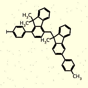 Cc1ccc(-c2ccc3c(c2)-c2ccccc2C3(C)Cc2ccc(-c3ccc(I)cc3)c3c2-c2ccccc2C3(C)C)cc1